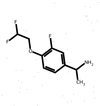 CC(N)c1ccc(OCC(F)F)c(F)c1